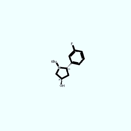 CC(C)(C)N1C[C@H](O)C[C@H]1c1cccc(F)c1